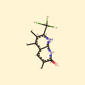 Cc1c2cc(C)c(=O)nc-2[nH]c(C(F)(F)F)c1C